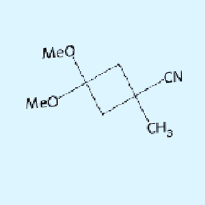 COC1(OC)CC(C)(C#N)C1